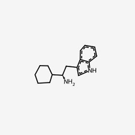 N[C@H](Cc1c[nH]c2ccccc12)C1CCCCC1